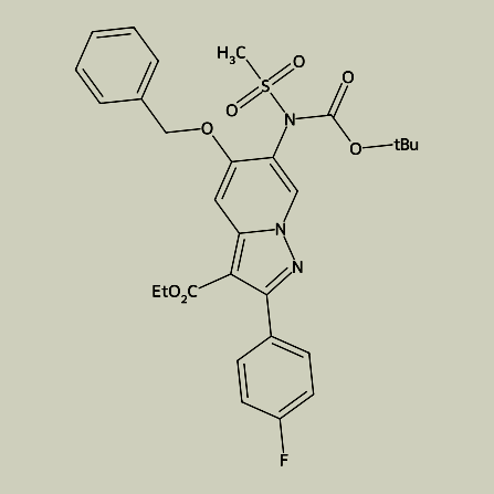 CCOC(=O)c1c(-c2ccc(F)cc2)nn2cc(N(C(=O)OC(C)(C)C)S(C)(=O)=O)c(OCc3ccccc3)cc12